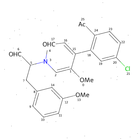 COC(=C/N(C)C(C=O)Cc1cccc(OC)c1)/C(=C\C=O)c1cc(Cl)ccc1C(C)=O